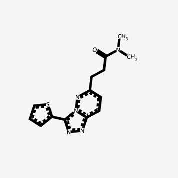 CN(C)C(=O)CCc1ccc2nnc(-c3cccs3)n2n1